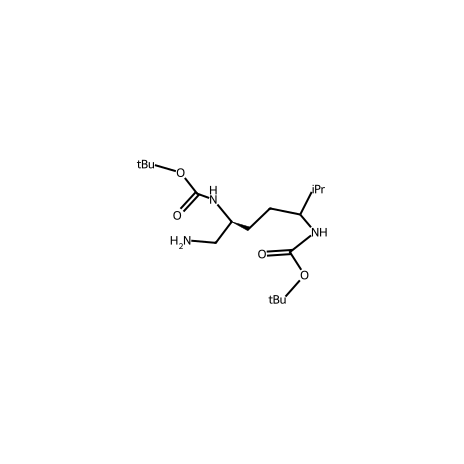 CC(C)C(CC[C@@H](CN)NC(=O)OC(C)(C)C)NC(=O)OC(C)(C)C